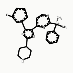 C[C@](N)(c1ccccc1)c1nccc(-c2sc(C3CCNCC3)nc2-c2cccc(F)c2)n1